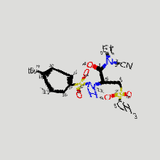 CCN(C#N)C(=O)C(CS(C)(=O)=O)NS(=O)(=O)c1ccc(C(C)(C)C)cc1